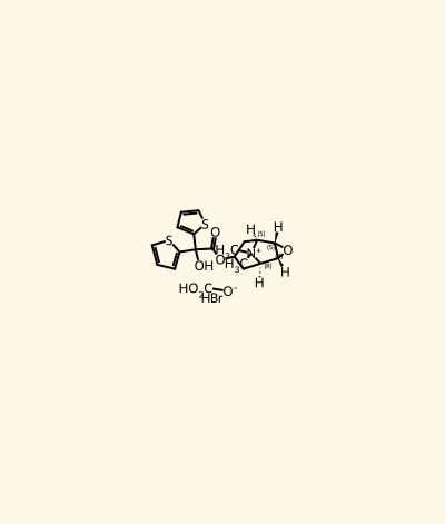 Br.C[N+]1(C)[C@@H]2CC(OC(=O)C(O)(c3cccs3)c3cccs3)C[C@H]1[C@@H]1O[C@@H]12.O=C([O-])O